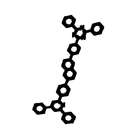 c1ccc(-c2cc(-c3ccccc3)nc(-c3ccc(-c4ccc5cc(-c6ccc(-c7nc(-c8ccccc8)nc(-c8ccccc8)n7)cc6)ccc5c4)cc3)c2)cc1